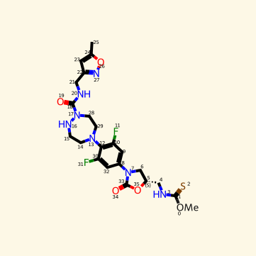 COC(=S)NC[C@H]1CN(c2cc(F)c(N3CCNN(C(=O)NCc4cc(C)on4)CC3)c(F)c2)C(=O)O1